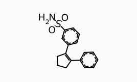 NS(=O)(=O)c1cccc(C2=C(c3ccccc3)CCC2)c1